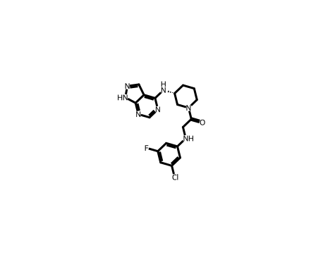 O=C(CNc1cc(F)cc(Cl)c1)N1CCC[C@@H](Nc2ncnc3[nH]ncc23)C1